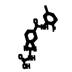 Cc1ccc(F)c(NC(=O)c2ccc3nc(NC(=O)O)sc3c2)c1